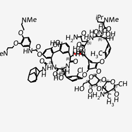 CNCCOc1ccc(NC(=O)Oc2cc(O)c3c(c2)[C@@H](C(=O)NC2C4CC5CC(C4)CC2C5)NC(=O)[C@H]2NC(=O)[C@H](NC(=O)[C@@H]4NC(=O)[C@H](CC(N)=O)NC(=O)[C@H](NC(=O)[C@@H](CC(C)C)NC)[C@H](O)c5ccc(c(C)c5)Oc5cc4cc(c5O[C@@H]4O[C@H](CO)[C@@H](O)[C@H](O)[C@H]4O[C@H]4C[C@](C)(N)[C@H](O)[C@H](C)O4)Oc4ccc(cc4Cl)[C@H]2O)c2ccc(O)c-3c2)cc1OCCNC